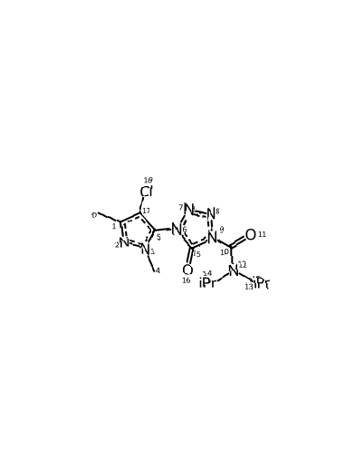 Cc1nn(C)c(-n2nnn(C(=O)N(C(C)C)C(C)C)c2=O)c1Cl